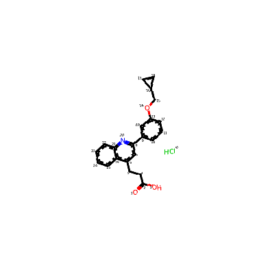 Cl.O=C(O)CCc1cc(-c2cccc(OCC3CC3)c2)nc2ccccc12